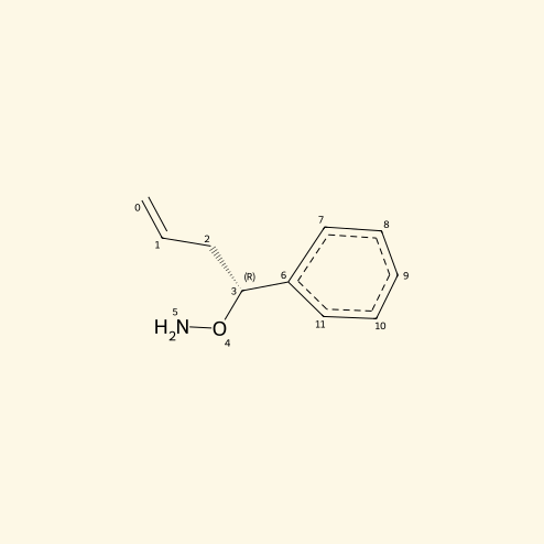 C=CC[C@@H](ON)c1ccccc1